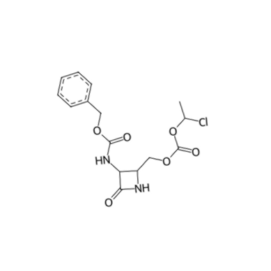 CC(Cl)OC(=O)OCC1NC(=O)C1NC(=O)OCc1ccccc1